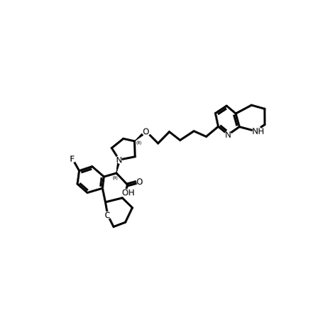 O=C(O)[C@@H](c1cc(F)ccc1C1CCCCC1)N1CC[C@@H](OCCCCCc2ccc3c(n2)NCCC3)C1